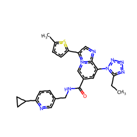 CCc1nnnn1-c1cc(C(=O)NCc2ccc(C3CC3)nc2)cn2c(-c3ccc(C)s3)cnc12